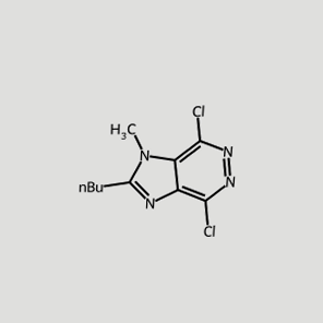 CCCCc1nc2c(Cl)nnc(Cl)c2n1C